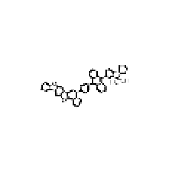 CC1(C)c2ccccc2-c2ccc(-c3c4ccccc4c(-c4ccc(-c5cc6c7cc8oc9ccccc9c8cc7oc6c6ccccc56)cc4)c4ccccc34)cc21